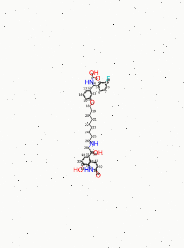 O=C(O)NC(c1cccc(F)c1)c1cccc(OCCCCCCCCCNC[C@H](O)c2ccc(O)c3[nH]c(=O)ccc23)c1